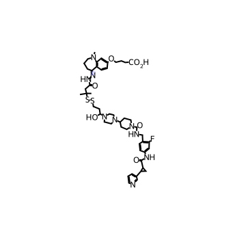 CN1CCC/C(=N\NC(=O)CC(C)(C)SSCCC(O)N2CCN(C3CCN(C(=O)NCc4ccc(NC(=O)C5CC5c5cccnc5)cc4F)CC3)CC2)c2ccc(OCCCC(=O)O)cc21